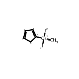 [CH3][Os]([I])([I])[C]1=CC=CC1